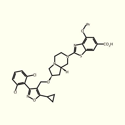 CC(C)Oc1cc(C(=O)O)cc2sc(N3CCN4C[C@H](OCc5c(-c6c(Cl)cccc6Cl)noc5C5CC5)C[C@H]4C3)nc12